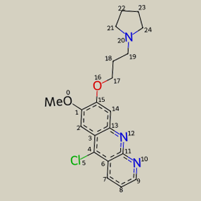 COc1cc2c(Cl)c3cccnc3nc2cc1OCCCN1CCCC1